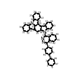 c1ccc(-c2ccc(-c3nnc(-n4c5ccccc5c5c6c7ccccc7n7c8ccccc8c(cc54)c67)c4ccccc34)cc2)cc1